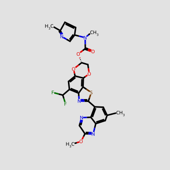 COc1cnc2c(-c3nc4c(C(F)F)cc5c(c4s3)OC[C@@H](OC(=O)N(C)c3ccc(C)nc3)O5)cc(C)cc2n1